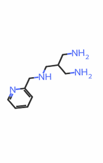 NCC(CN)CNCc1ccccn1